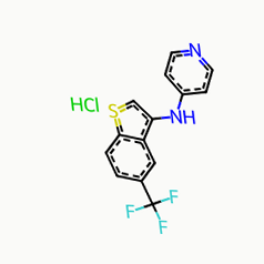 Cl.FC(F)(F)c1ccc2scc(Nc3ccncc3)c2c1